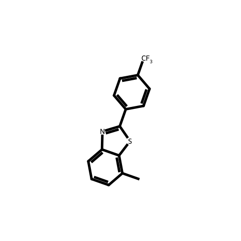 Cc1cccc2nc(-c3ccc(C(F)(F)F)cc3)sc12